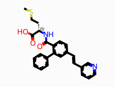 CSCC[C@H](NC(=O)c1ccc(C=Cc2cccnc2)cc1-c1ccccc1)C(=O)O